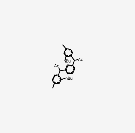 CCCCc1cc(C)ccc1C(C(C)=O)c1cccc(C(C(C)=O)c2ccc(C)cc2CCCC)c1